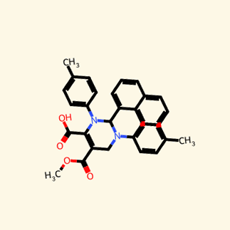 COC(=O)C1=C(C(=O)O)N(c2ccc(C)cc2)C(c2cccc3ccccc23)N(c2ccc(C)cc2)C1